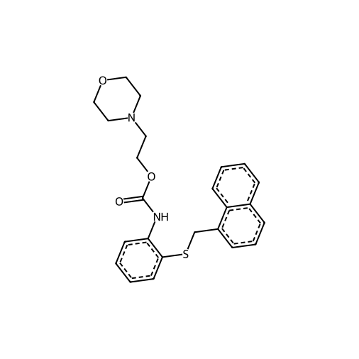 O=C(Nc1ccccc1SCc1cccc2ccccc12)OCCN1CCOCC1